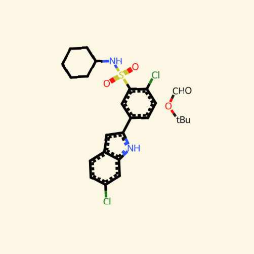 CC(C)(C)OC=O.O=S(=O)(NC1CCCCC1)c1cc(-c2cc3ccc(Cl)cc3[nH]2)ccc1Cl